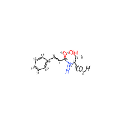 C[C@@H](O)[C@H](NC(=O)/C=C/c1ccccc1)C(=O)O